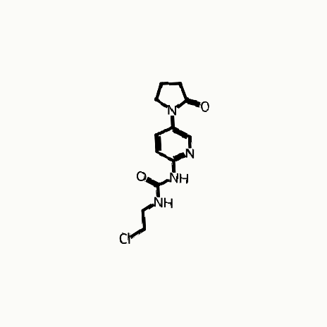 O=C(NCCCl)Nc1ccc(N2CCCC2=O)cn1